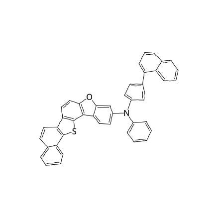 c1ccc(N(c2ccc(-c3cccc4ccccc34)cc2)c2ccc3c(c2)oc2ccc4c5ccc6ccccc6c5sc4c23)cc1